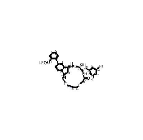 COc1ccccc1-c1ccc2c(c1)[C@@H]1C[C@H]2OC/C=C\CCCC(=O)N[C@@H](Cc2cc(F)cc(F)c2)[C@H](O)CN1